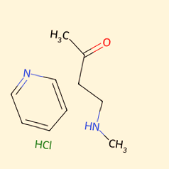 CNCCC(C)=O.Cl.c1ccncc1